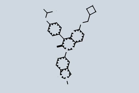 Cn1cc2cc(-n3nc4ccc(OCC5CCC5)nc4c(-c4ccc(OC(F)F)cc4)c3=O)ccc2n1